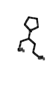 CCCC(CC)N1CCCC1